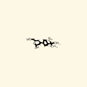 CC(C)(C)c1ccc(C(=CC(=O)O)CCCO)cc1